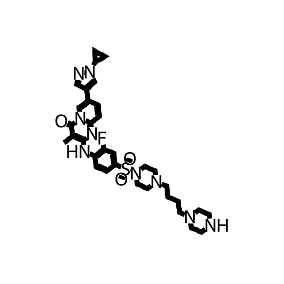 Cc1c(Nc2ccc(S(=O)(=O)N3CCN(CCCCN4CCNCC4)CC3)cc2F)nc2ccc(-c3cnn(C4CC4)c3)cn2c1=O